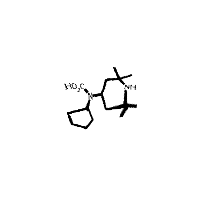 CC1(C)CC(N(C(=O)O)C2CCCC2)CC(C)(C)N1